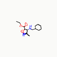 CCOC(=O)c1onc(C)c1NCC1CCCCC1